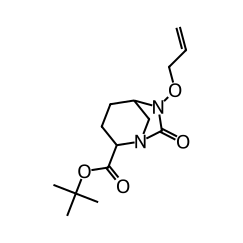 C=CCON1C(=O)N2CC1CCC2C(=O)OC(C)(C)C